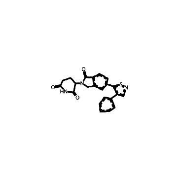 O=C1CCC(N2Cc3cc(-c4sncc4-c4ccccc4)ccc3C2=O)C(=O)N1